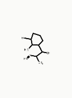 CCC1CCCC(C(O)C(C)N=N)C1C